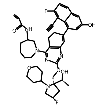 C#Cc1c(F)ccc2cc(O)cc(C3=Cc4nc(OC[C@]5([C@H](C)O)C[C@@H](F)CN5C5CCOCC5)nc(N5CCCCC(NC(=O)C=C)C5)c4CC3)c12